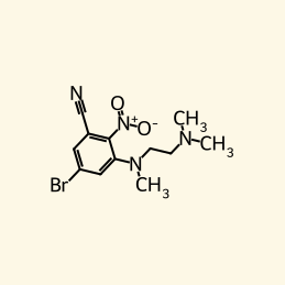 CN(C)CCN(C)c1cc(Br)cc(C#N)c1[N+](=O)[O-]